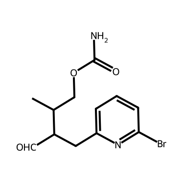 CC(COC(N)=O)C(C=O)Cc1cccc(Br)n1